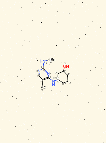 CC(=O)c1cnc(NC(C)(C)C)nc1N[C@@H]1CCCC(O)C1